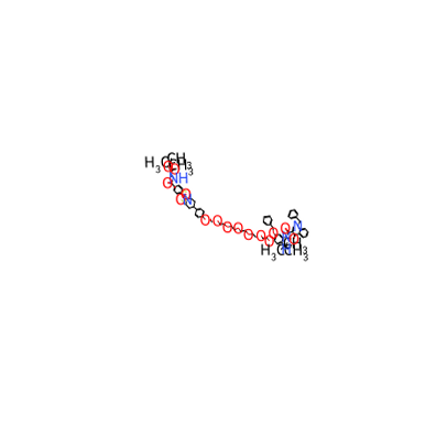 CC(C)(C)OC(=O)CNC(=O)c1ccc(S(=O)(=O)N2CCC(c3ccc(OCCOCCOCCOCCOCCOCCOc4cc(C(C)(C)C)c(NC(=O)c5cn(Cc6ccccc6)c6ccccc6c5=O)cc4OCc4ccccc4)cc3)CC2)cc1